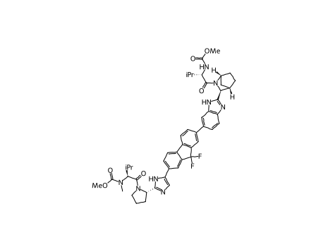 COC(=O)N[C@H](C(=O)N1[C@@H]2CC[C@@H](C2)[C@H]1c1nc2ccc(-c3ccc4c(c3)C(F)(F)c3cc(-c5cnc([C@@H]6CCCN6C(=O)[C@H](C(C)C)N(C)C(=O)OC)[nH]5)ccc3-4)cc2[nH]1)C(C)C